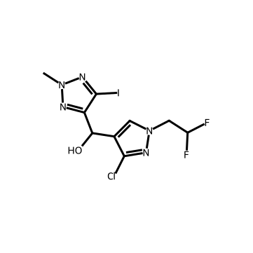 Cn1nc(I)c(C(O)c2cn(CC(F)F)nc2Cl)n1